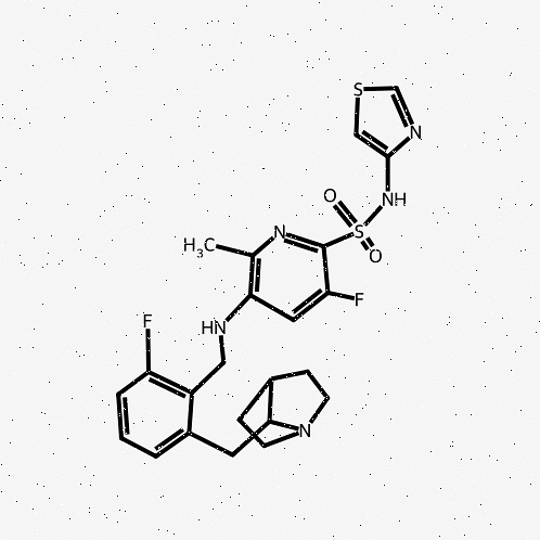 Cc1nc(S(=O)(=O)Nc2cscn2)c(F)cc1NCc1c(F)cccc1CC1C2CCN1CC2